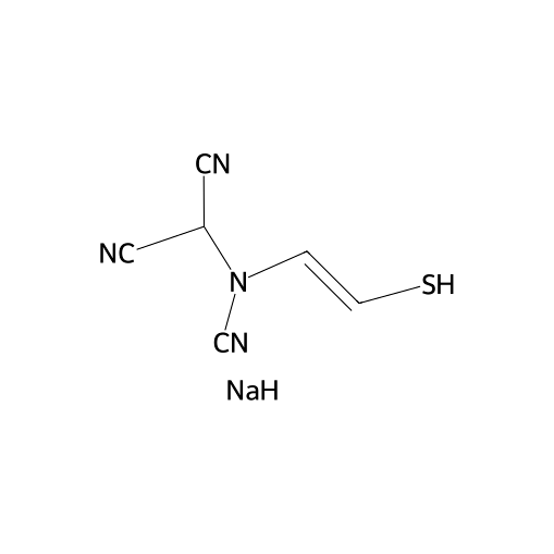 N#CC(C#N)N(C#N)C=CS.[NaH]